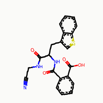 N#CCNC(=O)C(Cc1csc2ccccc12)NC(=O)c1ccccc1C(=O)O